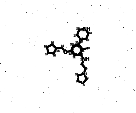 Cc1c(NCCN2CCCC2)cc(OCC2CCCC2)cc1N1CCNCC1